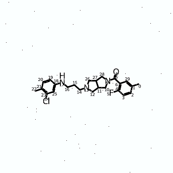 Cc1ccc(F)c(C(=O)N2CC3CN(CCCNc4ccc(C)c(Cl)c4)CC3C2)c1